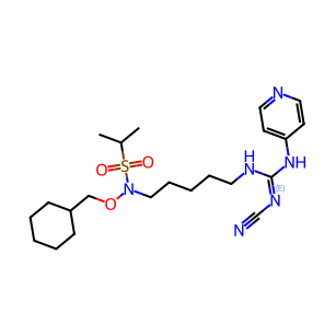 CC(C)S(=O)(=O)N(CCCCCN/C(=N\C#N)Nc1ccncc1)OCC1CCCCC1